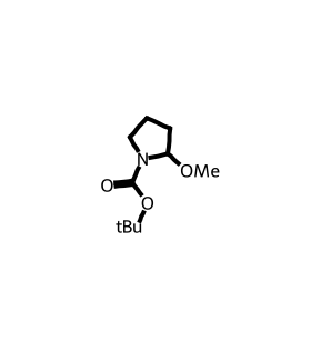 COC1CCCN1C(=O)OC(C)(C)C